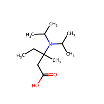 CCC(C)(CC(=O)O)N(C(C)C)C(C)C